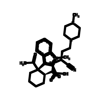 CN1CCN(CC[C@@H](C#N)NC(=O)[C@@H]2CCCC[C@@]2(C(N)=O)c2c(C(=O)O)n(C)c3ccccc23)CC1